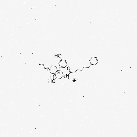 C=CCN1CC[C@@]2(c3cccc(O)c3)C[C@H](N(CC(C)C)C(=O)CCCCCc3ccccc3)CC(O)[C@@H]2C1